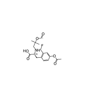 CC(=O)Oc1ccc(C[C@H](NCC(C)(C)O[C]=O)C(=O)O)c(CF)c1